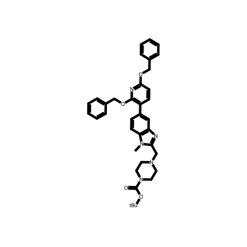 Cn1c(CN2CCN(C(=O)OC(C)(C)C)CC2)nc2cc(-c3ccc(OCc4ccccc4)nc3OCc3ccccc3)ccc21